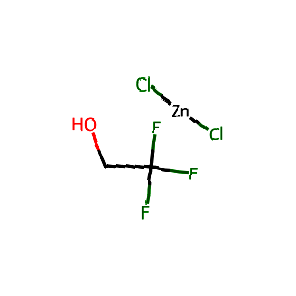 OCC(F)(F)F.[Cl][Zn][Cl]